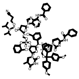 COc1ccc(C(OC[C@@H]2O[C@@H](n3ccc(NC(=O)c4ccccc4)nc3=O)C[C@H]2C(c2cc[c]c(Cl)c2)[C@H]2O[C@@H](n3cc(C)c(=O)[nH]c3=O)C[C@@H]2OP(=O)(OC[C@H]2O[C@@H](n3cnc4c(NC(=O)c5ccccc5)ncnc43)C[C@@H]2OP(OCCC#N)N(C(C)C)C(C)C)Oc2ccccc2Cl)(c2ccccc2)c2ccc(OC)cc2)cc1